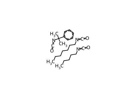 CC(C)(N=C=O)c1ccccc1.CCCCCCCN=C=O.CCCCCN=C=O